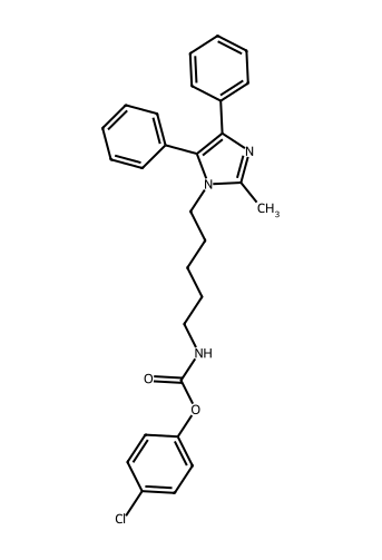 Cc1nc(-c2ccccc2)c(-c2ccccc2)n1CCCCCNC(=O)Oc1ccc(Cl)cc1